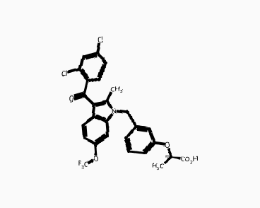 Cc1c(C(=O)c2ccc(Cl)cc2Cl)c2ccc(OC(F)(F)F)cc2n1Cc1cccc(O[C@H](C)C(=O)O)c1